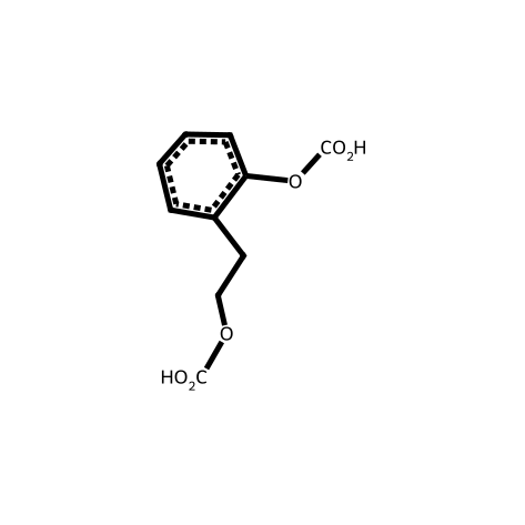 O=C(O)OCCc1ccccc1OC(=O)O